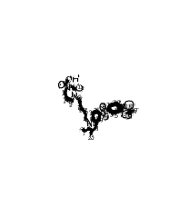 CCC(NCCCCN1CCCN(C(=O)O)CC1=O)C(C)Cc1cccc(S(=O)(=O)c2ccc3c(c2)OCO3)c1